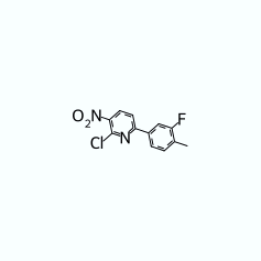 Cc1ccc(-c2ccc([N+](=O)[O-])c(Cl)n2)cc1F